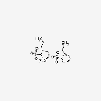 C=CCc1ccccc1S(=O)(=O)[O-].C=CCc1ccccc1S(=O)(=O)[O-].[Zn+2]